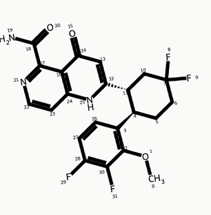 COc1c([C@@H]2CCC(F)(F)C[C@H]2c2cc(=O)c3c(C(N)=O)nccc3[nH]2)ccc(F)c1F